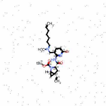 C=CCCCCCN(C)Cc1ccc(Br)nc1NC(=O)[C@@H]1C[C@@]2(C=C)C[C@H]2N1C(=O)OC(C)(C)C